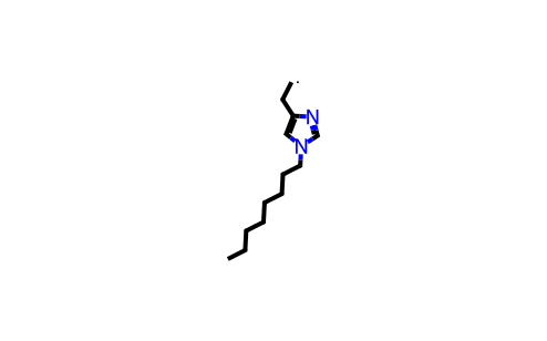 [CH2]Cc1cn(CCCCCCCC)cn1